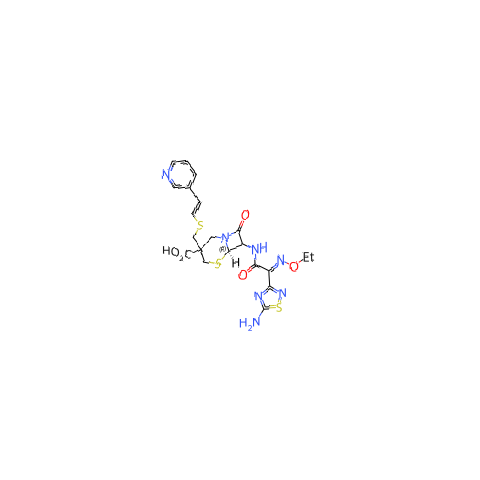 CCON=C(C(=O)NC1C(=O)N2CC(CSC=Cc3cccnc3)(C(=O)O)CS[C@H]12)c1nsc(N)n1